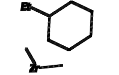 CCC1CCCCC1.[CH3][Zr][CH3]